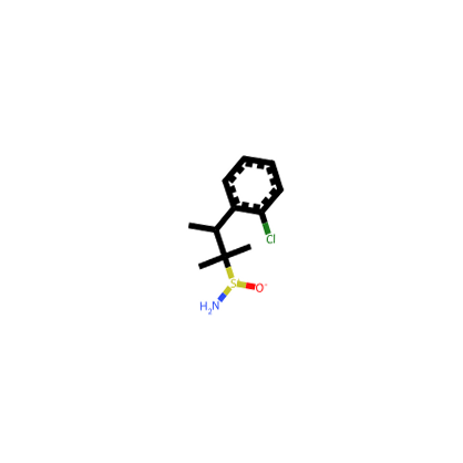 CC(c1ccccc1Cl)C(C)(C)[S+](N)[O-]